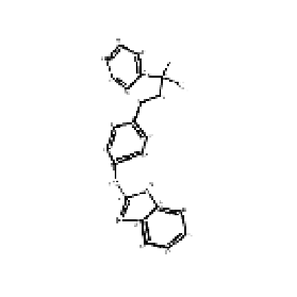 CC(O)(CCc1ccc(Oc2nc3ccccc3s2)cc1)c1ccccc1